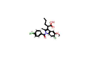 CCCC(C(=O)O)c1c(C)n(C(=O)c2ccc(Br)cc2)c2cc(F)c(OC)cc12